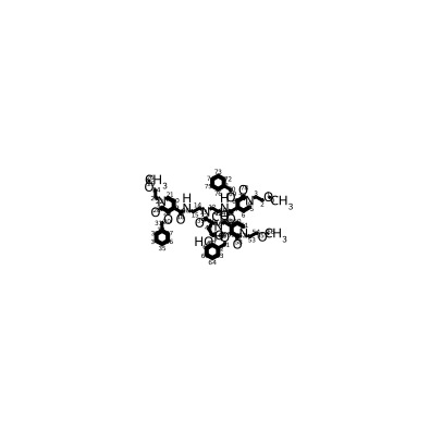 COCCn1ccc(C(=O)NCCN(CCNC(=O)c2ccn(CCOC)c(=O)c2OCc2ccccc2)C(=O)C(C)(CC(=O)O)NC(=O)c2ccn(CCOC)c(=O)c2OCc2ccccc2)c(OCc2ccccc2)c1=O